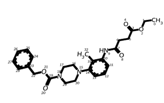 CCOC(=O)CCC(=O)Nc1cccc(N2CCN(C(=O)OCc3ccccc3)CC2)c1C